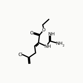 C=C(Cl)CC=C(NC(=N)N)C(=O)OCC